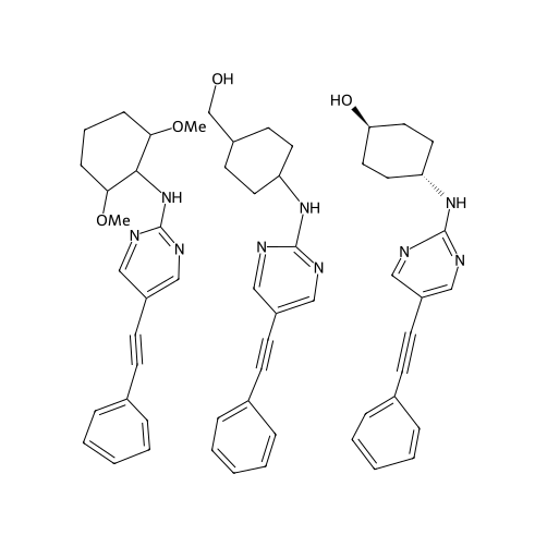 COC1CCCC(OC)C1Nc1ncc(C#Cc2ccccc2)cn1.OCC1CCC(Nc2ncc(C#Cc3ccccc3)cn2)CC1.O[C@H]1CC[C@H](Nc2ncc(C#Cc3ccccc3)cn2)CC1